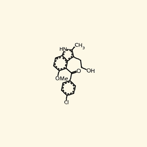 COc1ccc2[nH]c(C)c(CCO)c2c1C(=O)c1ccc(Cl)cc1